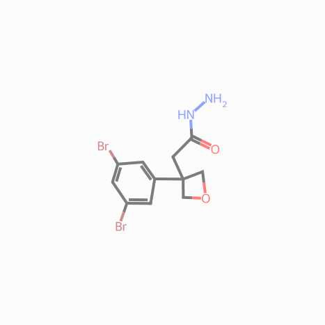 NNC(=O)CC1(c2cc(Br)cc(Br)c2)COC1